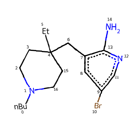 CCCCN1CCC(CC)(Cc2cc(Br)cnc2N)CC1